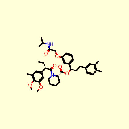 CC[C@H](C(=O)N1CCCC[C@H]1C(=O)O[C@H](CCc1ccc(C)c(C)c1)c1cccc(OCC(=O)NC(C)C)c1)c1cc(C)c(OC)c(OC)c1